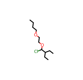 CCCCOCCOC(Cl)C(CC)CC